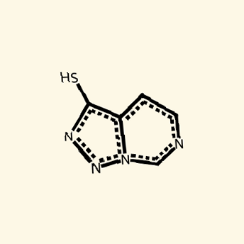 Sc1nnn2cnccc12